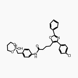 O=C(CCCc1oc(-c2ccccc2)nc1-c1ccc(Cl)cc1)Nc1ccc(C[PH]2(O)OCCCO2)cc1